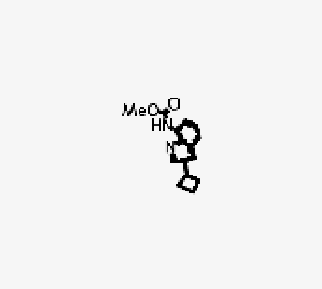 COC(=O)Nc1cccc2cc(C3CCC3)cnc12